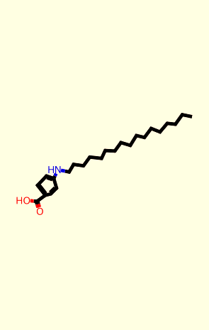 CCCCCCCCCCCCCCCCCNc1ccc(C(=O)O)cc1